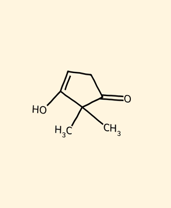 CC1(C)C(=O)CC=C1O